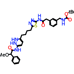 COC(C(=O)NC1=CC=C(CCCCc2nnc(NC(=O)Cc3cccc(CNC(=O)OC(C)(C)C)c3)s2)NN1)c1ccccc1